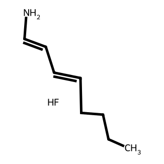 CCCCC=CC=CN.F